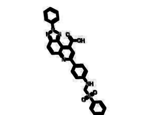 O=C(O)c1cc(-c2ccc(NCS(=O)(=O)c3ccccc3)cc2)nc2ccc3nn(-c4ccccc4)nc3c12